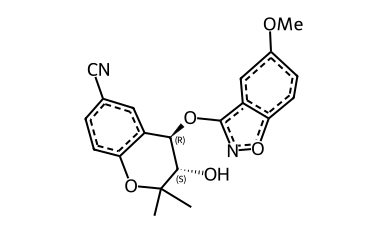 COc1ccc2onc(O[C@@H]3c4cc(C#N)ccc4OC(C)(C)[C@H]3O)c2c1